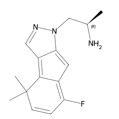 C[C@@H](N)Cn1ncc2c1=CC1=C(F)C=CC(C)(C)C=21